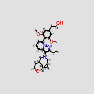 CCc1nn2c(-c3c(OC)cc(CCO)cc3OC)cccc2c1N(CC1CCOCC1)CC1CC1